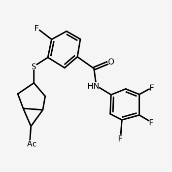 CC(=O)C1C2CC(Sc3cc(C(=O)Nc4cc(F)c(F)c(F)c4)ccc3F)CC21